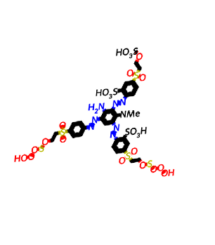 CNc1c(/N=N/c2ccc(S(=O)(=O)CCOSOOO)cc2S(=O)(=O)O)cc(/N=N/c2ccc(S(=O)(=O)CCOSOOO)cc2)c(N)c1/N=N/c1ccc(S(=O)(=O)CCOS(=O)(=O)O)cc1S(=O)(=O)O